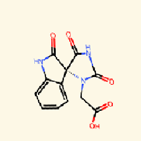 O=C(O)CN1C(=O)NC(=O)[C@@]12C(=O)Nc1ccccc12